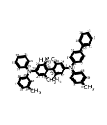 Cc1ccc(N(c2ccc(-c3ccccc3)cc2)c2cc(C)c(-c3c(C)cc(N(c4ccccc4)c4cccc(C)c4)cc3C)c(C)c2)cc1